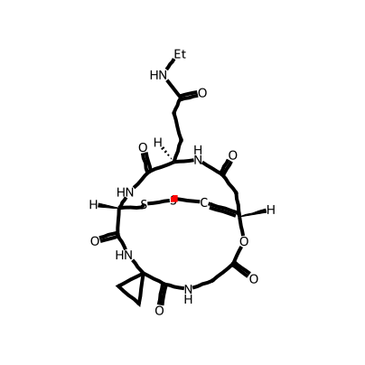 CCNC(=O)CC[C@H]1NC(=O)C[C@H]2/C=C/CCSSC[C@@H](NC1=O)C(=O)NC1(CC1)C(=O)NCC(=O)O2